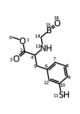 COC(=O)C(Cc1cccc(S)c1)NCB=O